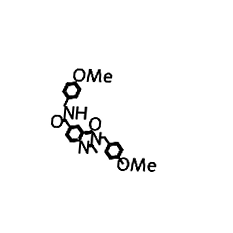 COc1ccc(CNC(=O)c2ccc3nc(C)n(Cc4ccc(OC)cc4)c(=O)c3c2)cc1